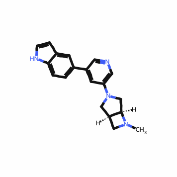 CN1C[C@H]2CN(c3cncc(-c4ccc5[nH]ccc5c4)c3)C[C@H]21